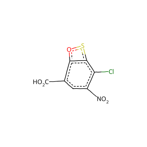 O=C(O)c1cc([N+](=O)[O-])c(Cl)c2soc12